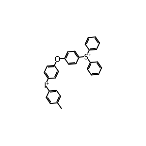 Cc1ccc([I+]c2ccc(Oc3ccc([S+](c4ccccc4)c4ccccc4)cc3)cc2)cc1